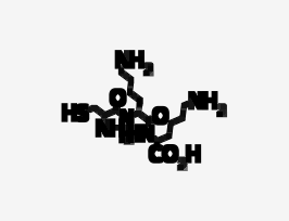 NCCCC[C@H](NC(=O)[C@H](CCCCN)NC(=O)[C@@H](N)CS)C(=O)O